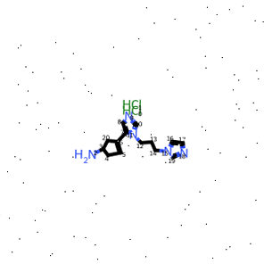 Cl.Cl.NC1CC=C(c2cncn2CCCn2ccnc2)C1